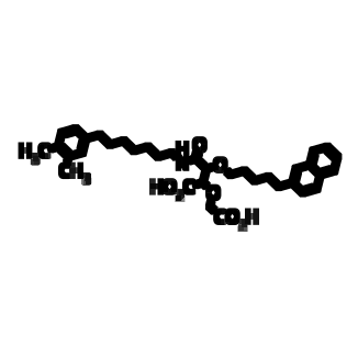 Cc1ccc(CCCCCCCNC(=O)C(OCCCCCc2ccc3ccccc3c2)C(OCC(=O)O)C(=O)O)cc1C